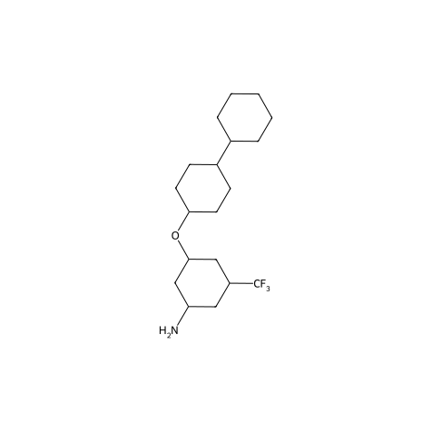 NC1CC(OC2CCC(C3CCCCC3)CC2)CC(C(F)(F)F)C1